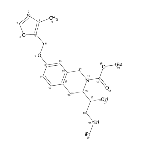 Cc1ncoc1COc1ccc2c(c1)CN(C(=O)OC(C)(C)C)[C@H]([C@H](O)CNC(C)C)C2